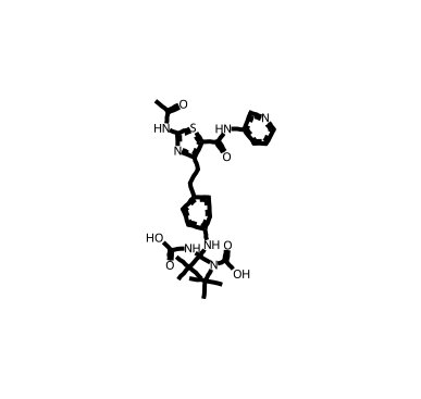 CC(=O)Nc1nc(CCc2ccc(NC(NC(=O)O)(N(C(=O)O)C(C)(C)C)C(C)(C)C)cc2)c(C(=O)Nc2cccnc2)s1